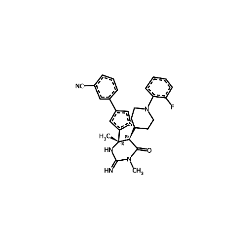 CN1C(=N)N[C@](C)(c2cc(-c3cccc(C#N)c3)cs2)[C@@H](C2CCN(c3ccccc3F)CC2)C1=O